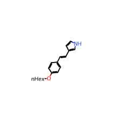 CCCCCCOc1ccc(/C=C/c2cc[nH]c2)cc1